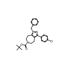 CC(C)(C)OC(=O)N1CCc2c(-c3ccc(Cl)cc3)nn(Cc3ccccc3)c2CC1